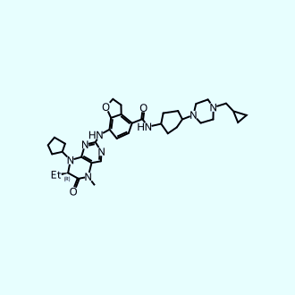 CC[C@@H]1C(=O)N(C)c2cnc(Nc3ccc(C(=O)NC4CCC(N5CCN(CC6CC6)CC5)CC4)c4c3OCC4)nc2N1C1CCCC1